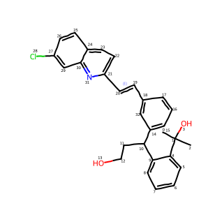 CC(C)(O)c1ccccc1C(CCO)c1cccc(/C=C/c2ccc3ccc(Cl)cc3n2)c1